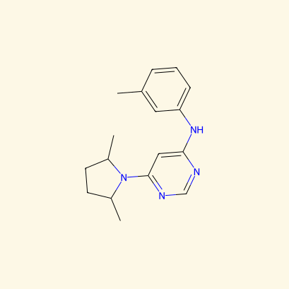 Cc1cccc(Nc2cc(N3C(C)CCC3C)ncn2)c1